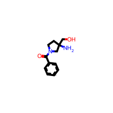 NC1(CO)CCN(C(=O)c2cc[c]cc2)C1